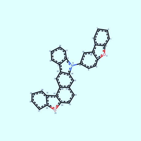 c1ccc2c(c1)oc1ccc(-n3c4ccccc4c4cc5c(ccc6oc7ccccc7c65)cc43)cc12